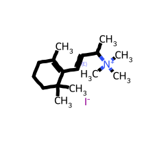 CC1=C(/C=C/C(C)[N+](C)(C)C)C(C)(C)CCC1.[I-]